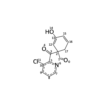 O=CC1(C(=O)c2ncccc2Cl)C=C(O)C=CC1